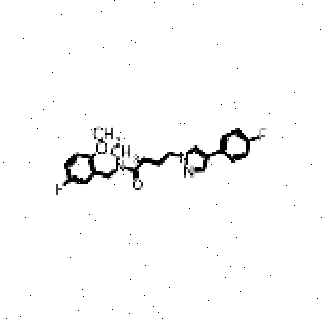 COc1ccc(F)cc1CN(C)C(=O)CCCn1cc(-c2ccc(F)cc2)cn1